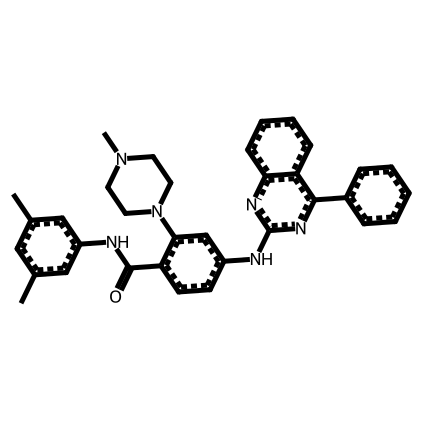 Cc1cc(C)cc(NC(=O)c2ccc(Nc3nc(-c4ccccc4)c4ccccc4n3)cc2N2CCN(C)CC2)c1